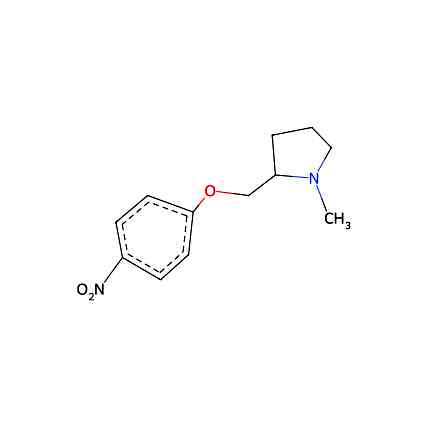 CN1CCCC1COc1ccc([N+](=O)[O-])cc1